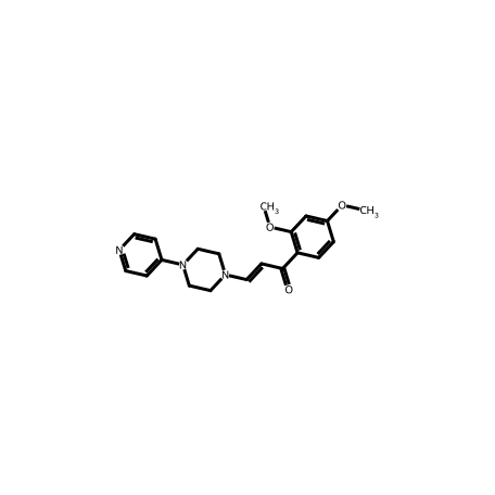 COc1ccc(C(=O)C=CN2CCN(c3ccncc3)CC2)c(OC)c1